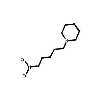 CCN(CC)CCCCCN1CC[CH]CC1